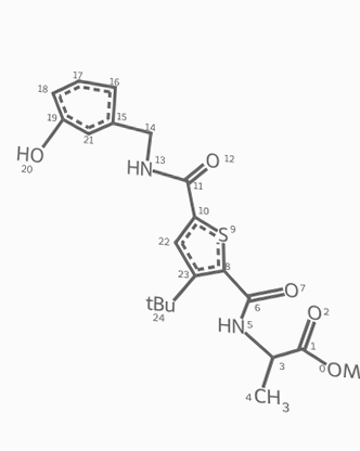 COC(=O)C(C)NC(=O)c1sc(C(=O)NCc2cccc(O)c2)cc1C(C)(C)C